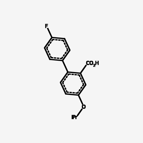 CC(C)Oc1ccc(-c2ccc(F)cc2)c(C(=O)O)c1